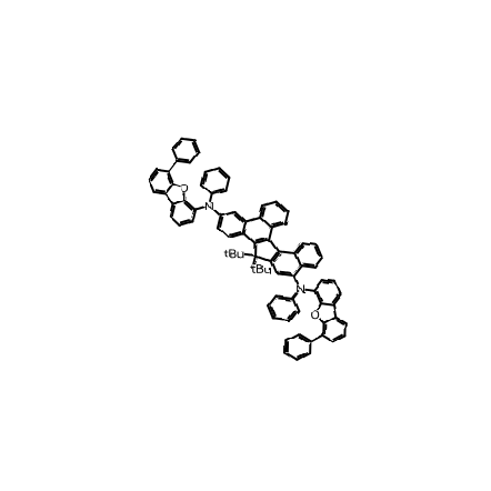 CC(C)(C)C1(C(C)(C)C)c2cc(N(c3ccccc3)c3cccc4c3oc3c(-c5ccccc5)cccc34)c3ccccc3c2-c2c1c1ccc(N(c3ccccc3)c3cccc4c3oc3c(-c5ccccc5)cccc34)cc1c1ccccc21